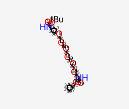 CC(C)(C)OC(=O)Nc1ccc(OCCOCCOCCOCCOCCOCCNC(=O)OCc2ccccc2)cc1